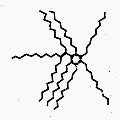 CCCCCCCCCCC(CCCCCCCCCC)=C(CCCCCCCCCC)c1c(CCCCCCCCCC)c(CCCCCCCCCC)c(CCCCCCCCCC)c(CCCCCCCCCC)c1CCCCCCCCCC